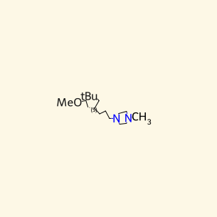 COCC[C@@H](CCCN1CCN(C)CC1)CC(C)(C)C